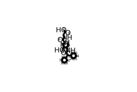 O=C(O)CNC(=O)c1ncc(NC(=O)C(c2ccccc2)c2ccccc2)c(O)n1